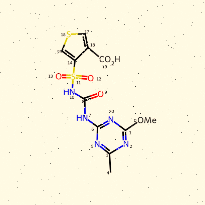 COc1nc(C)nc(NC(=O)NS(=O)(=O)c2cscc2C(=O)O)n1